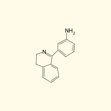 Nc1cccc(C2=NCCc3ccccc32)c1